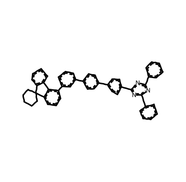 c1ccc(-c2nc(-c3ccccc3)nc(-c3ccc(-c4ccc(-c5cccc(-c6cccc7c6-c6ccccc6C76CCCCC6)c5)cc4)cc3)n2)cc1